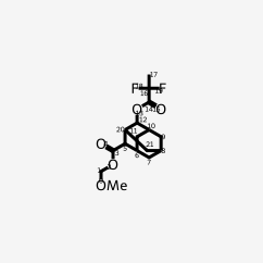 COCOC(=O)C1C2CC3CC(C2)C(OC(=O)C(C)(F)F)C1C3